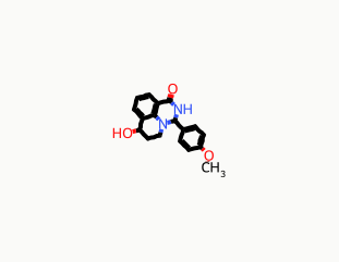 COc1ccc(C2NC(=O)c3cccc4c3N2CCC4O)cc1